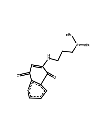 CCCC[As](CCCC)CCCNC1=CC(=O)c2ncccc2C1=O